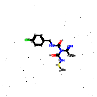 COC(=N)N(C(=O)NCc1ccc(Cl)cc1)C(=O)NSC(C)(C)C